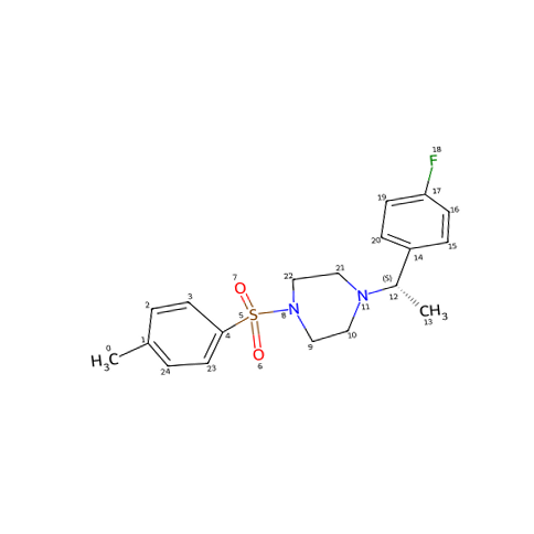 Cc1ccc(S(=O)(=O)N2CCN([C@@H](C)c3ccc(F)cc3)CC2)cc1